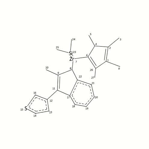 CC1=C(C)C(C)[C]([Zr]([CH]2C(C)=C(c3ccsc3)c3ccccc32)=[Si](C)C)=C1C